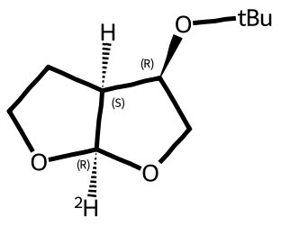 [2H][C@]12OCC[C@H]1[C@@H](OC(C)(C)C)CO2